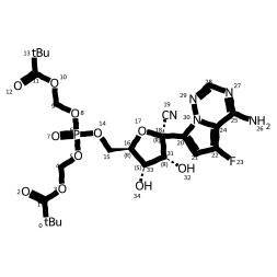 CC(C)(C)C(=O)OCOP(=O)(OCOC(=O)C(C)(C)C)OC[C@H]1O[C@@](C#N)(c2cc(F)c3c(N)ncnn23)[C@H](O)[C@@H]1O